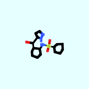 O=C(c1ccn[nH]1)c1ccccc1NS(=O)(=O)c1ccccc1